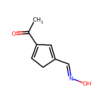 CC(=O)C1=CCC(/C=N/O)=C1